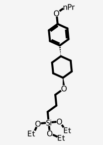 CCCOc1ccc([C@H]2CC[C@H](OCCC[Si](OCC)(OCC)OCC)CC2)cc1